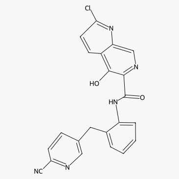 N#Cc1ccc(Cc2ccccc2NC(=O)c2ncc3nc(Cl)ccc3c2O)cn1